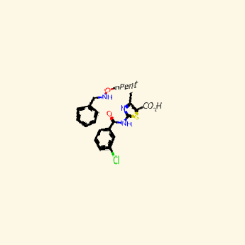 CCCCCONCc1ccccc1.Cc1nc(NC(=O)c2cccc(Cl)c2)sc1C(=O)O